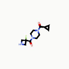 O=C(C1CC1)N1CCN(C(=O)C2(F)CNC2)CC1